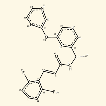 C[C@H](NC(=O)C=Cc1c(F)cccc1F)c1cccc(Oc2cnccn2)c1